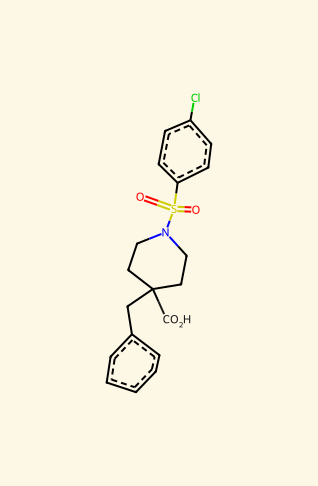 O=C(O)C1(Cc2ccccc2)CCN(S(=O)(=O)c2ccc(Cl)cc2)CC1